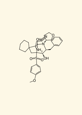 COc1ccc(S(=O)(=O)C(N)(CC2(CCC#N)CCCCC2)[C@H](O)[C@H](Cc2ccccc2)N(C(=O)O)[C@H]2CCOC2)cc1